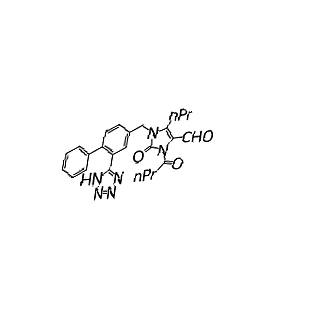 CCCC(=O)n1c(C=O)c(CCC)n(Cc2ccc(-c3ccccc3)c(-c3nnn[nH]3)c2)c1=O